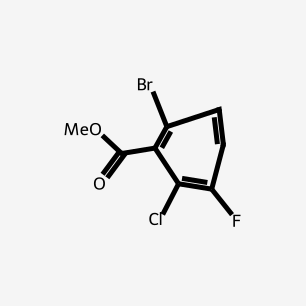 COC(=O)c1c(Br)ccc(F)c1Cl